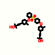 Cc1cc(C#CC(C)(C)O)ccc1Oc1ccc(S(=O)(=O)c2ccccc2Oc2ccc(C#CC(C)(C)O)cc2C)cc1